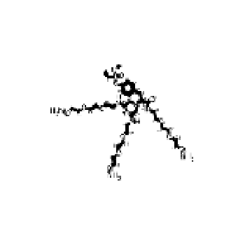 CCP(=O)(OC)Oc1ccc(CC(C(=O)NCCOCCOCCON)N(CC(=O)NCCOCCOCCON)CC(=O)NCCOCCOCCON)cc1